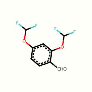 O=Cc1ccc(OC(F)F)cc1OC(F)F